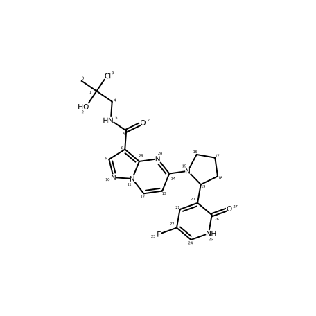 CC(O)(Cl)CNC(=O)c1cnn2ccc(N3CCCC3c3cc(F)c[nH]c3=O)nc12